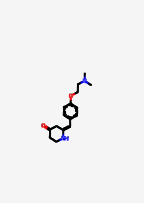 CN(C)CCOc1ccc(/C=C2\CC(=O)CCN2)cc1